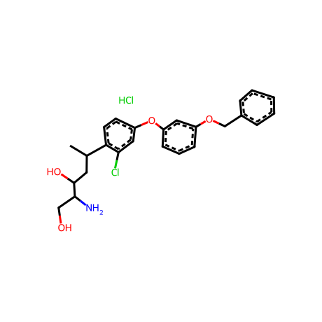 CC(CC(O)C(N)CO)c1ccc(Oc2cccc(OCc3ccccc3)c2)cc1Cl.Cl